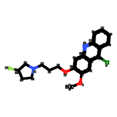 COc1cc2c(Cl)c3ccccc3nc2cc1OCCCN1CCC(F)C1